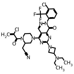 C=C(Cl)C(=O)N1CCN(c2nc(N3CC(N(CC)CC)C3)nc3c(=O)n(-c4cccc(Cl)c4C(F)(F)F)ncc23)CC1CC#N